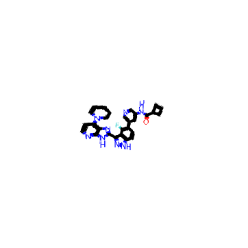 O=C(Nc1cncc(-c2ccc3[nH]nc(-c4nc5c(N6CCCCC6)ccnc5[nH]4)c3c2F)c1)C1CCC1